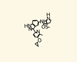 CS[C@@]1(C(=O)Nc2ccc3[nH]nc(-c4ccc(OC5CC5)c(C)n4)c3c2)CCNC1